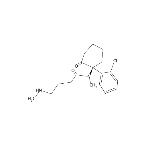 CNCCCC(=O)N(C)[C@]1(c2ccccc2Cl)CCCCC1=O